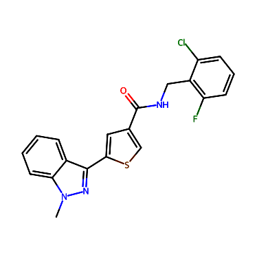 Cn1nc(-c2cc(C(=O)NCc3c(F)cccc3Cl)cs2)c2ccccc21